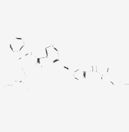 C/C=C\C(C)C(=O)C(=O)Nc1cccc(C#Cc2cncc(C(=O)N=[S@](=O)(CCCN(C)CCO)c3ccccc3)c2)c1